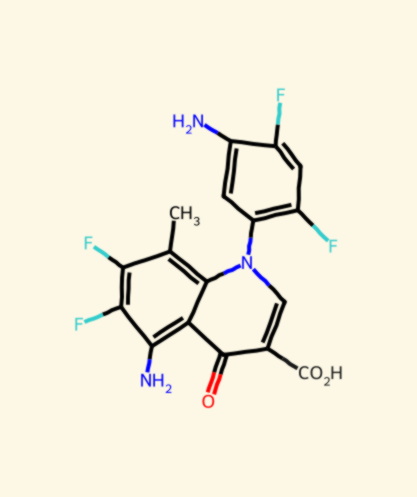 Cc1c(F)c(F)c(N)c2c(=O)c(C(=O)O)cn(-c3cc(N)c(F)cc3F)c12